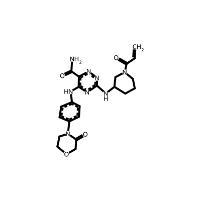 C=CC(=O)N1CCCC(Nc2nnc(C(N)=O)c(Nc3ccc(N4CCOCC4=O)cc3)n2)C1